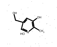 Cc1ncc(CO)cc1O.Cl